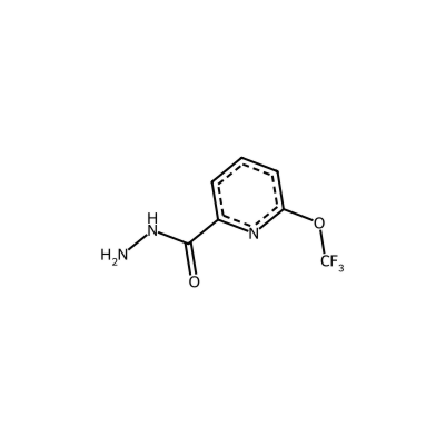 NNC(=O)c1cccc(OC(F)(F)F)n1